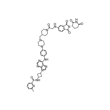 Cc1cccc(C(=O)NC2CC(n3cnc4c(Nc5ccc(N6CCN(CC7CCN(C(=O)CNc8ccc9c(c8)C(=O)N([C@H]8CCC(=O)NC8=O)C9=O)CC7)CC6)cc5)ncnc43)C2)n1